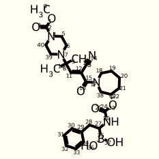 COC(=O)N1CCN(C(C)(C)C=C(C#N)C(=O)N2CCCC[C@H](OC(=O)NC(Cc3ccccc3)B(O)O)C2)CC1